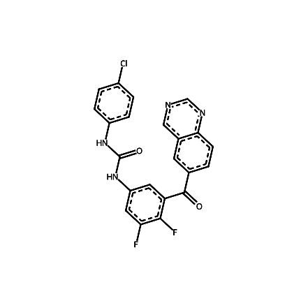 O=C(Nc1ccc(Cl)cc1)Nc1cc(F)c(F)c(C(=O)c2ccc3ncncc3c2)c1